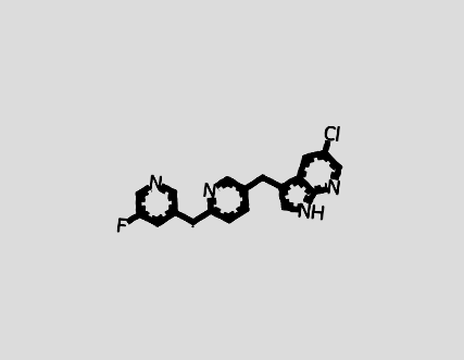 Fc1cncc([CH]c2ccc(Cc3c[nH]c4ncc(Cl)cc34)cn2)c1